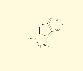 CC(=O)ON1N=C(C)N2c3ccccc3SC12